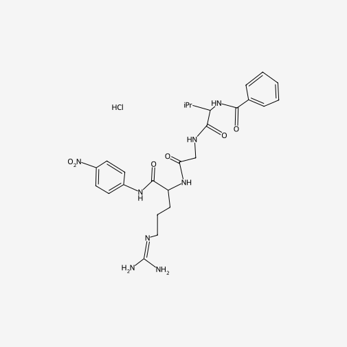 CC(C)C(NC(=O)c1ccccc1)C(=O)NCC(=O)NC(CCCN=C(N)N)C(=O)Nc1ccc([N+](=O)[O-])cc1.Cl